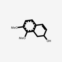 COc1ccc2c(c1OC)CC(O)C=C2